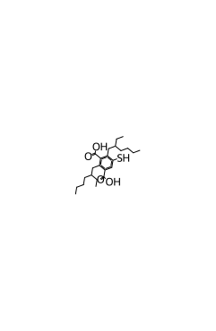 CCCCC(CC)Cc1c(S)cc(C(=O)O)c(CC(CC)CCCC)c1C(=O)O